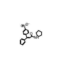 O=C(/C=C(/c1ccccc1)c1ccc([N+](=O)[O-])cc1)NC1CCCCC1